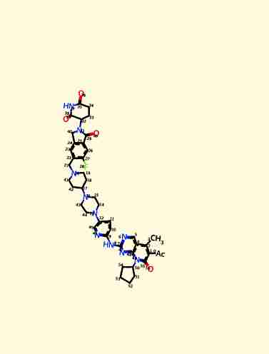 CC(=O)c1c(C)c2cnc(Nc3ccc(N4CCN(C5CCN(Cc6cc7c(cc6F)C(=O)N(C6CCC(=O)NC6=O)C7)CC5)CC4)cn3)nc2n(C2CCCC2)c1=O